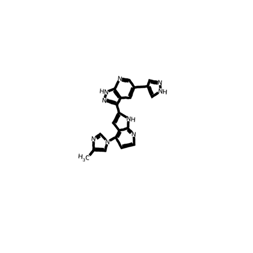 Cc1cn(-c2ccnc3[nH]c(-c4n[nH]c5ncc(-c6cn[nH]c6)cc45)cc23)cn1